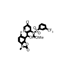 COCN(c1cc(Cl)cnc1C(O)c1c(F)ccc2c1oc(=O)n2C)S(=O)(=O)c1cccc(C(F)(F)F)c1